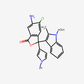 CCCCCCCCn1c(C)c(C2(c3ccn(C(C)C)c3)OC(=O)c3cc(N)c(Cl)cc32)c2ccccc21